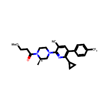 COCCC(=O)N1CCN(c2nc(C3CC3)c(-c3ccc(C(F)(F)F)cc3)cc2C#N)C[C@H]1C